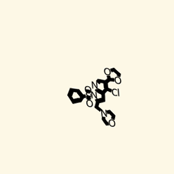 O=S(=O)(c1ccccc1)n1c(CN2CCOCC2)cc2c(Cl)c(C3OCCO3)cnc21